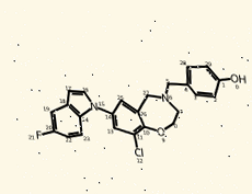 Oc1ccc(CN2CCOc3c(Cl)cc(-n4ccc5cc(F)ccc54)cc3C2)cc1